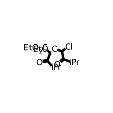 CCOC(=O)C(Cl)C(=O)C(C)C.CCOC(=O)CC(=O)C(C)C